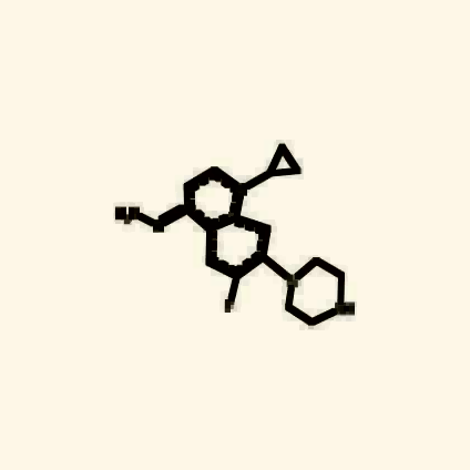 NN=c1ccn(C2CC2)c2cc(N3CCNCC3)c(F)cc12